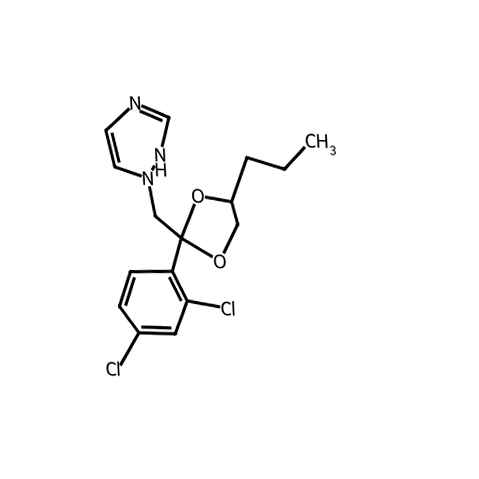 CCCC1COC(CN2C=CN=CN2)(c2ccc(Cl)cc2Cl)O1